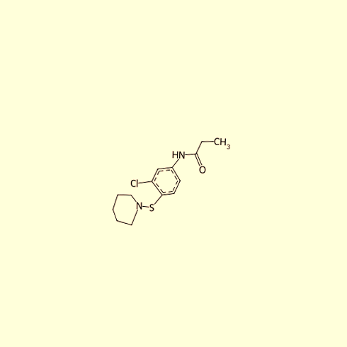 CCC(=O)Nc1ccc(SN2CCCCC2)c(Cl)c1